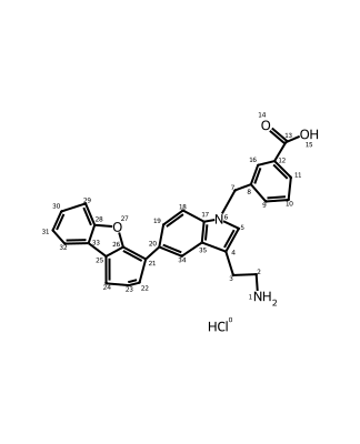 Cl.NCCc1cn(Cc2cccc(C(=O)O)c2)c2ccc(-c3cccc4c3oc3ccccc34)cc12